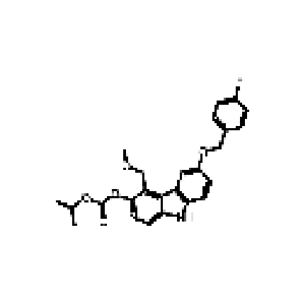 COCc1c(OC(=O)OC(C)C)ncc2[nH]c3ccc(OCc4ccc(F)cc4)cc3c12